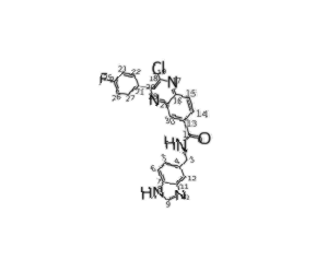 O=C(NCc1ccc2[nH]cnc2c1)c1ccc2nc(Cl)c(-c3ccc(F)cc3)nc2c1